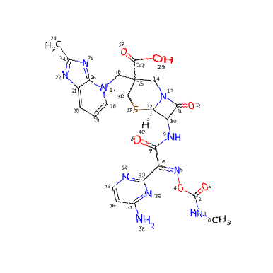 CNC(=O)ON=C(C(=O)NC1C(=O)N2CC(Cn3cccc4nc(C)nc3-4)(C(=O)O)CS[C@H]12)c1nccc(N)n1